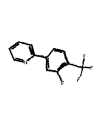 Fc1cc(-c2ccccn2)ccc1C(F)(F)F